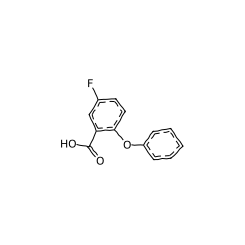 O=C(O)c1cc(F)ccc1Oc1ccccc1